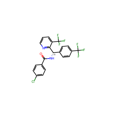 O=C(N[C@@H](c1ccc(C(F)(F)F)cc1)c1ncccc1C(F)(F)F)c1ccc(Cl)cc1